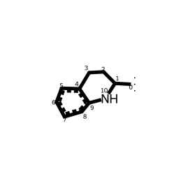 [C]C1CCc2ccccc2N1